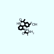 CC1C(=O)Nc2cccc(NC(=O)[C@H](C)N)c2-c2ccc(F)cc21.Cl